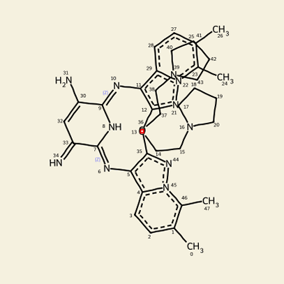 Cc1ccc2c(/N=C3\N/C(=N\c4c(OCCN5CCCC5)nn5c(C)c(C)ccc45)C(N)=CC3=N)c(OCCN3CCCC3)nn2c1C